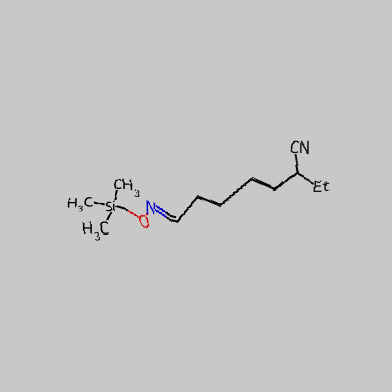 CCC(C#N)CCCCC=NO[Si](C)(C)C